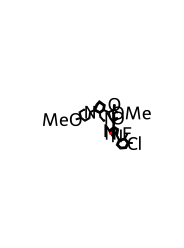 COC(=O)C1c2cccc(N3CCC(OC)CC3)c2CCN1C(=O)c1cn(-c2cccc(Cl)c2F)nn1